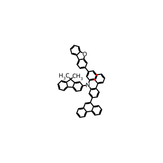 CC1(C)c2ccccc2-c2ccc(N(c3cccc(-c4ccc5c(c4)oc4ccccc45)c3)c3cc(-c4cc5ccccc5c5ccccc45)ccc3-c3ccccc3)cc21